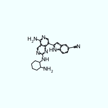 N#Cc1ccc2[nH]c(-c3cnc(N)c4cnc(NC5CCCCC5N)nc34)cc2c1